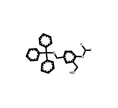 OCc1cc(COC(c2ccccc2)(c2ccccc2)c2ccccc2)ccc1OC(F)F